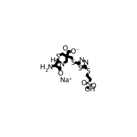 NC1C(=O)N2CC(CSc3nnc(SCCS(=O)(=O)O)s3)(C(=O)[O-])CS[C@H]12.[Na+]